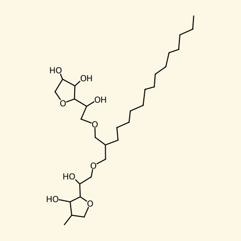 CCCCCCCCCCCCCCC(COCC(O)C1OCC(C)C1O)COCC(O)C1OCC(O)C1O